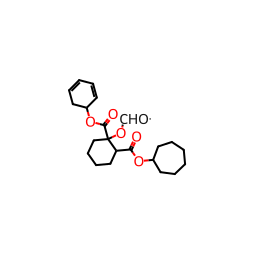 O=[C]OC1(C(=O)OC2C=CC=CC2)CCCCC1C(=O)OC1CCCCCC1